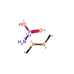 CSSC.N[PH](=O)O